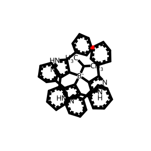 CC(C)[B-](c1c(-c2ccccc2)n[nH]c1-c1ccccc1)(c1c(-c2ccccc2)n[nH]c1-c1ccccc1)c1c(-c2ccccc2)n[nH]c1-c1ccccc1